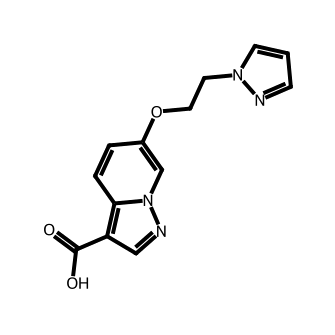 O=C(O)c1cnn2cc(OCCn3cccn3)ccc12